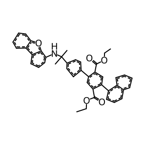 CCOC(=O)c1cc(-c2cccc3ccccc23)c(C(=O)OCC)cc1-c1ccc(C(C)(C)Nc2cccc3c2oc2ccccc23)cc1